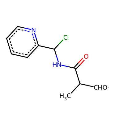 CC([C]=O)C(=O)NC(Cl)c1ccccn1